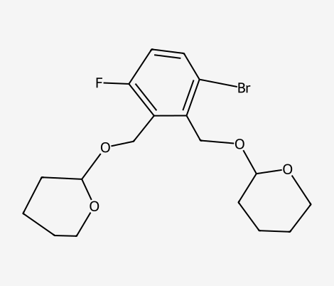 Fc1ccc(Br)c(COC2CCCCO2)c1COC1CCCCO1